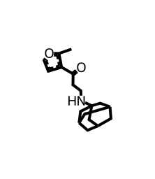 Cc1occc1C(=O)CCNC12CC3CC(CC(C3)C1)C2